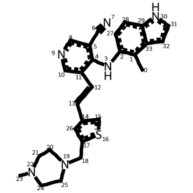 Cc1c(Nc2c(C#N)cncc2C=Cc2csc(CN3CCN(C)CC3)c2)ccc2[nH]ccc12